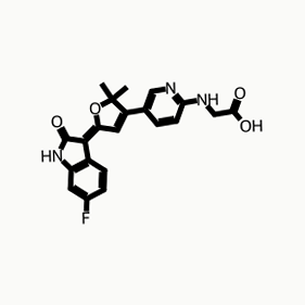 CC1(C)OC(=C2C(=O)Nc3cc(F)ccc32)C=C1c1ccc(NCC(=O)O)nc1